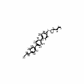 CC=CCOCc1ccc(-c2ccc(-c3ccc(C=CC)cc3)cc2)cc1